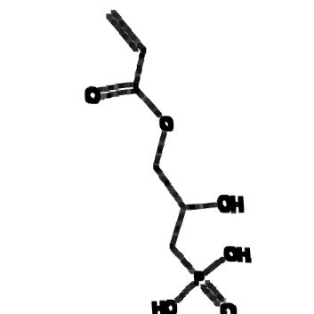 C=CC(=O)OCC(O)CP(=O)(O)O